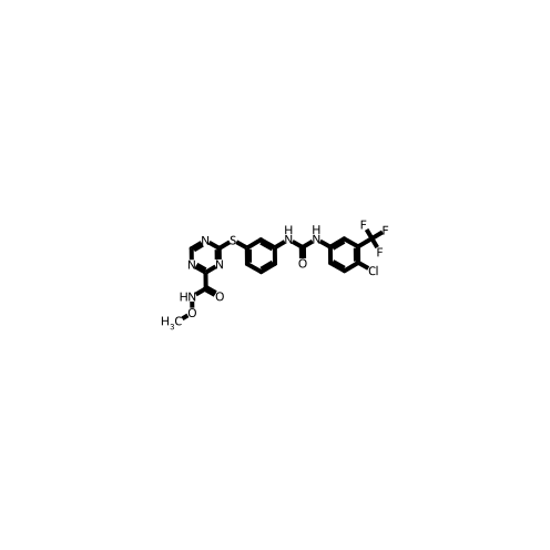 CONC(=O)c1ncnc(Sc2cccc(NC(=O)Nc3ccc(Cl)c(C(F)(F)F)c3)c2)n1